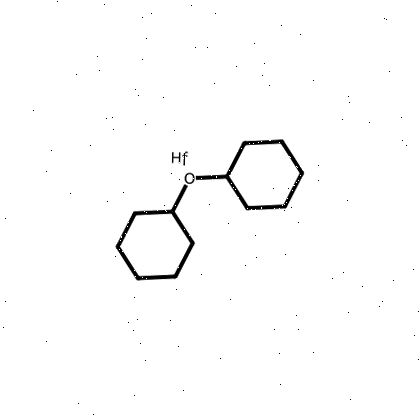 C1CCC(OC2CCCCC2)CC1.[Hf]